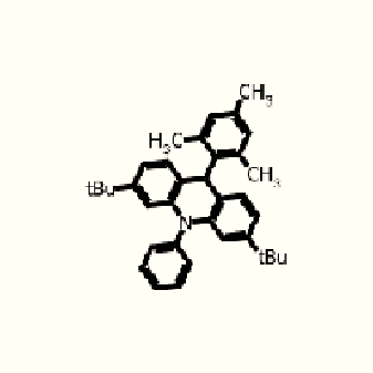 Cc1cc(C)c(C2c3ccc(C(C)(C)C)cc3N(c3ccccc3)c3cc(C(C)(C)C)ccc32)c(C)c1